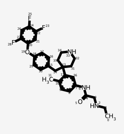 CCNCC(=O)Nc1ccc(C)c(C2(Cc3ccc(Oc4cc(F)c(F)cc4F)cc3)CCNCC2)c1